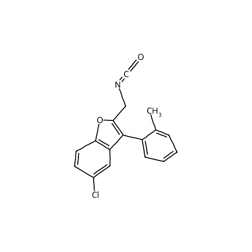 Cc1ccccc1-c1c(CN=C=O)oc2ccc(Cl)cc12